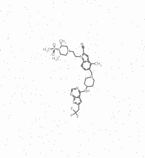 Cc1c(CN2CCC(Nc3ncnc4sc(CC(F)(F)F)cc34)CC2)ccc2c1cc(C#N)n2CCN1C[C@H](C)N(S(C)(=O)=O)[C@@H](C)C1